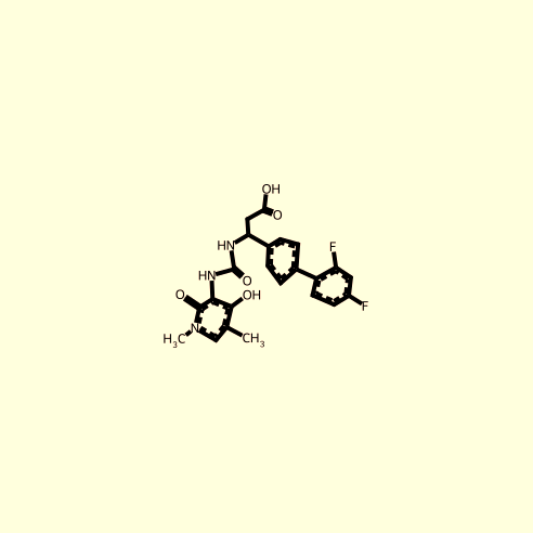 Cc1cn(C)c(=O)c(NC(=O)NC(CC(=O)O)c2ccc(-c3ccc(F)cc3F)cc2)c1O